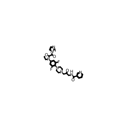 O=C(CNC(=O)c1cccnc1)CN1CCN(c2c(F)cc(N3CCOC3C(=O)n3ccnn3)cc2F)CC1